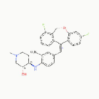 CN1CC[C@@H](Nc2ccc(/C=C3/c4ccc(F)cc4OCc4c(F)cccc43)cc2[N+](=O)[O-])[C@H](O)C1